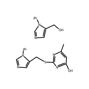 CC(C)n1cncc1CO.Cc1cc(O)nc(SCc2cncn2C(C)C)n1